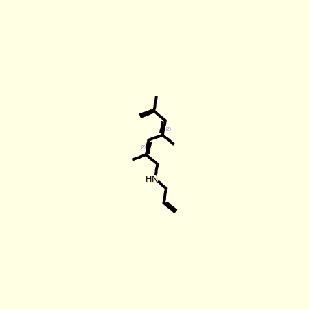 C=CCNC/C(C)=C\C(C)=C/C(=C)C